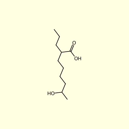 CCCC(CCCCC(C)O)C(=O)O